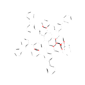 c1ccc(-c2cc(-c3ccccc3)c(N3c4ccc(-c5cccc6c5oc5ccccc56)cc4B4c5cc(-c6cccc7c6oc6ccccc67)ccc5N(c5c(-c6ccccc6)cc(-c6ccccc6)cc5-c5ccccc5)c5cc(N6C7CC8CC(C7)CC6C8)cc3c54)c(-c3ccccc3)c2)cc1